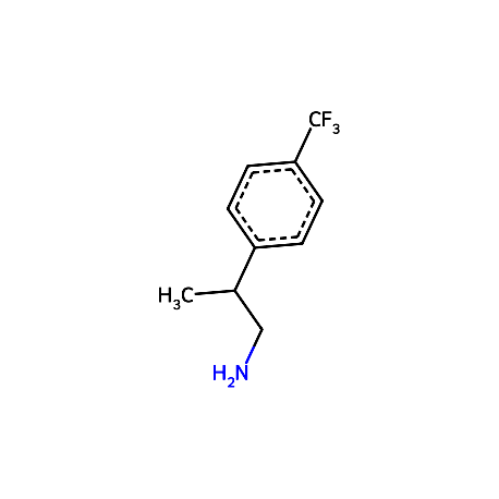 CC(CN)c1ccc(C(F)(F)F)cc1